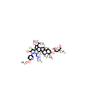 CNCCn1c(C23CC[C@]4(C)C(CCC5C6(C)CCC(OC(=O)CC(C)(C)C=O)C(C)(C)C6CCC54C)C2=C(C(C)C)C(=O)C3)c(Cl)c(=O)n1-c1ccc(OC)nc1